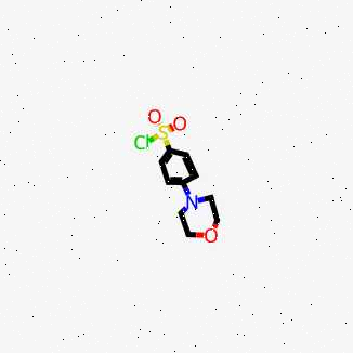 O=S(=O)(Cl)c1ccc(N2CCOCC2)cc1